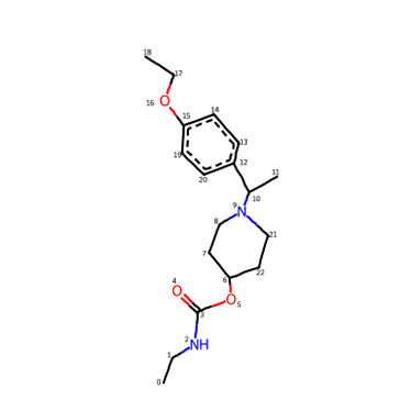 CCNC(=O)OC1CCN(C(C)c2ccc(OCC)cc2)CC1